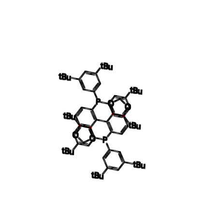 CC(C)(C)c1cc(P(c2cc(C(C)(C)C)cc(C(C)(C)C)c2)c2ccc3c(c2-c2c(P(c4cc(C(C)(C)C)cc(C(C)(C)C)c4)c4cc(C(C)(C)C)cc(C(C)(C)C)c4)ccc4c2OCO4)OCO3)cc(C(C)(C)C)c1